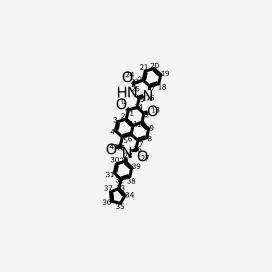 O=C1c2ccc3c4c(ccc(c24)C(=O)C1c1nc2ccccc2c(=O)[nH]1)C(=O)N(c1ccc(C2=CCC=C2)cc1)C3=O